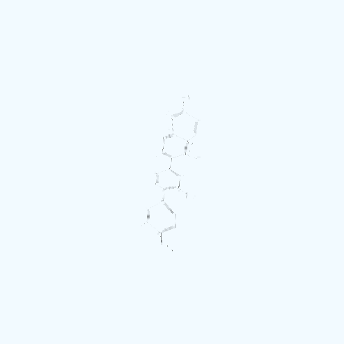 CCc1ccc2c(F)c(-c3ccc(-c4ccc(C#N)cc4)c(F)c3)ccc2c1